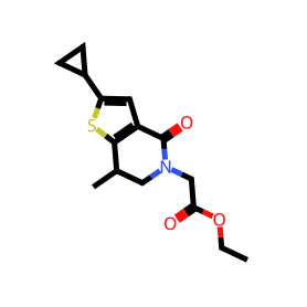 CCOC(=O)CN1CC(C)c2sc(C3CC3)cc2C1=O